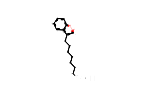 O=S(=O)(O)CCCCCCCc1coc2ccccc12